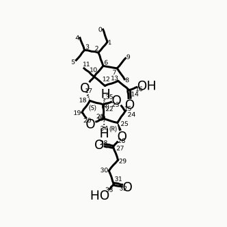 CCC(C(C)C)C(C(C)C)C(C)(CCC(=O)O)O[C@H]1CO[C@H]2[C@@H]1OC[C@H]2OC(=O)CCC(=O)O